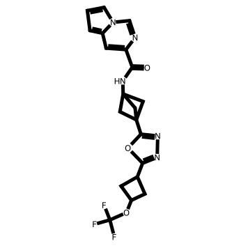 O=C(NC12CC(c3nnc(C4CC(OC(F)(F)F)C4)o3)(C1)C2)c1cc2cccn2cn1